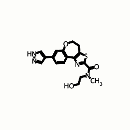 CN(CCO)C(=O)c1nc2c(s1)CCOc1cc(-c3cn[nH]c3)ccc1-2